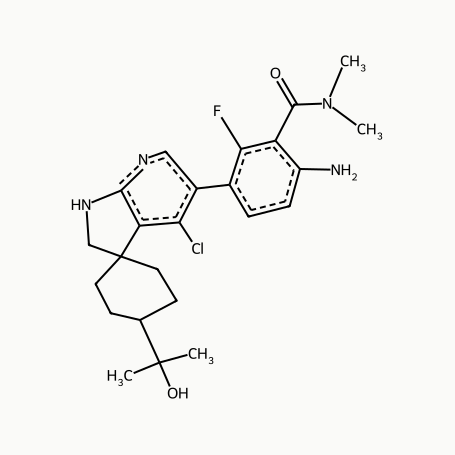 CN(C)C(=O)c1c(N)ccc(-c2cnc3c(c2Cl)C2(CCC(C(C)(C)O)CC2)CN3)c1F